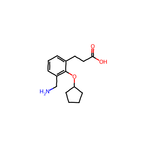 NCc1cccc(CCC(=O)O)c1OC1CCCC1